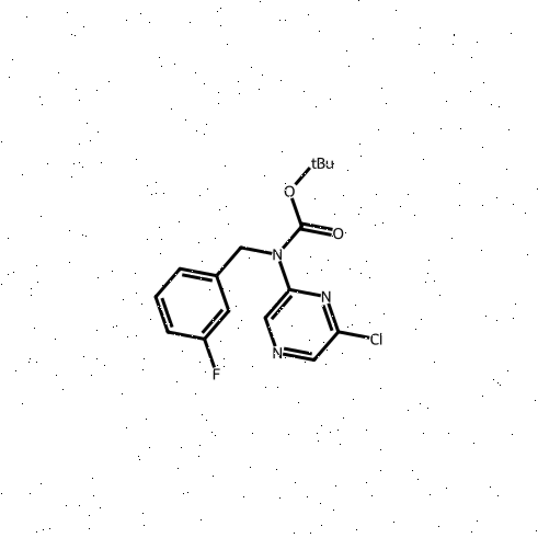 CC(C)(C)OC(=O)N(Cc1cccc(F)c1)c1cncc(Cl)n1